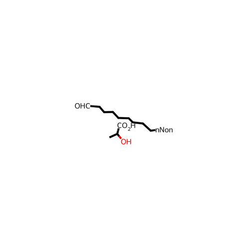 CC(O)C(=O)O.CCCCCCCCCCCCCCCCCC=O